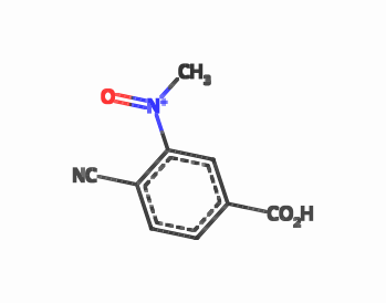 C[N+](=O)c1cc(C(=O)O)ccc1C#N